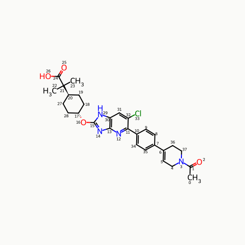 CC(=O)N1CC=C(c2ccc(-c3nc4nc(O[C@H]5CC[C@H](C(C)(C)C(=O)O)CC5)[nH]c4cc3Cl)cc2)CC1